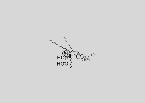 CCCCCCCCCCCCC(CCCCCCCC)(C(=O)N[C@@H](CCC(=O)O)C(=O)O)C(CCCCCCCCC)C1CC[C@@]2(C)C(=CCC3C2CC[C@@]2(C)C3CC[C@@H]2[C@H](C)CCCC(C)C)C1